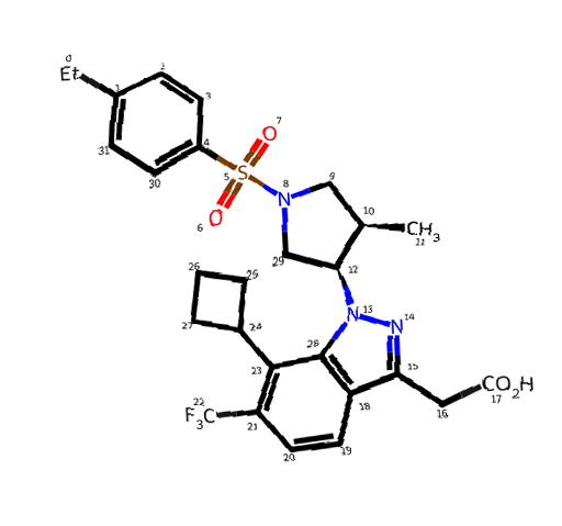 CCc1ccc(S(=O)(=O)N2C[C@@H](C)[C@@H](n3nc(CC(=O)O)c4ccc(C(F)(F)F)c(C5CCC5)c43)C2)cc1